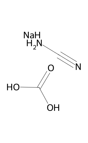 N#CN.O=C(O)O.[NaH]